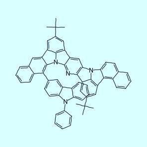 CC(C)(C)c1cc2c3nc4c(cc3n3c5ccc6ccccc6c5c(c1)c23)c1cc(C(C)(C)C)cc2c3cc5ccccc5c(-c5ccc6c(c5)c5ccccc5n6-c5ccccc5)c3n4c12